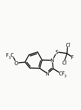 FC(F)(F)Oc1ccc2c(c1)nc(C(F)(F)F)n2SC(F)(Cl)Cl